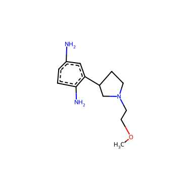 COCCN1CCC(c2cc(N)ccc2N)C1